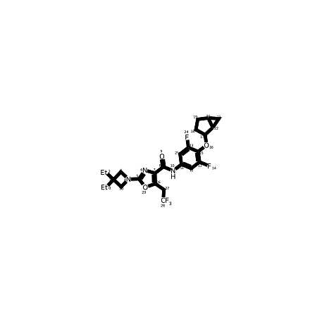 CCC1(CC)CN(c2nc(C(=O)Nc3cc(F)c(OC4CCC5CC54)c(F)c3)c(CC(F)(F)F)o2)C1